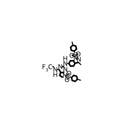 Cc1ccc(S(=O)(=O)n2ccc3c(NCC(F)(F)F)nc(Nc4ccc5c(C)nn(S(=O)(=O)c6ccc(C)cc6)c5c4)nc32)cc1